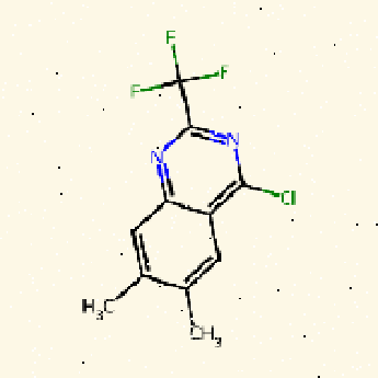 Cc1cc2nc(C(F)(F)F)nc(Cl)c2cc1C